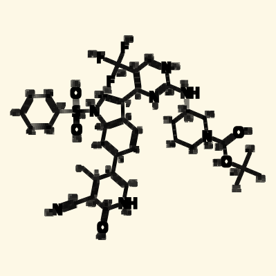 Cc1c(-c2ccc3c(-c4nc(N[C@H]5CCCN(C(=O)OC(C)(C)C)C5)ncc4C(F)(F)F)cn(S(=O)(=O)c4ccccc4)c3c2)c[nH]c(=O)c1C#N